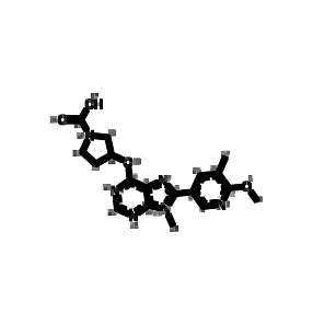 COc1ncc(-c2nc3c(OC4CCN(C(=O)O)C4)ncnc3n2C)cc1C